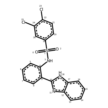 O=S(=O)(Nc1ccccc1-c1nc2ccccc2[nH]1)c1ccc(Cl)c(Cl)c1